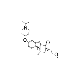 COCCN1C[C@@H](C)n2c(cc3cc(OC4CCN(C(C)C)CC4)ccc32)C1=O